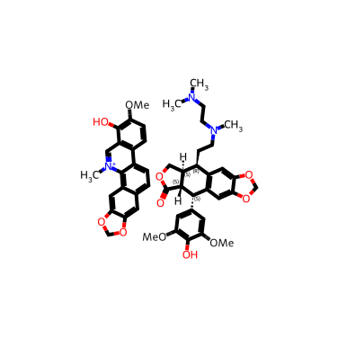 COc1cc([C@H]2c3cc4c(cc3[C@H](CCN(C)CCN(C)C)[C@@H]3COC(=O)[C@@H]23)OCO4)cc(OC)c1O.COc1ccc2c(c[n+](C)c3c4cc5c(cc4ccc23)OCO5)c1O